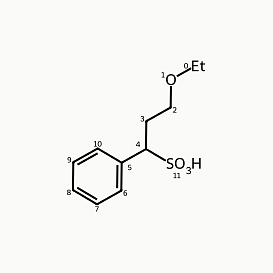 CCOCCC(c1ccccc1)S(=O)(=O)O